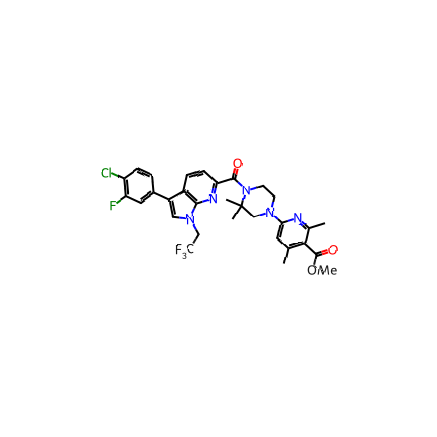 COC(=O)c1c(C)cc(N2CCN(C(=O)c3ccc4c(-c5ccc(Cl)c(F)c5)cn(CC(F)(F)F)c4n3)C(C)(C)C2)nc1C